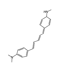 CNC1C=CC(=C/C=C/C=C/c2ccc(N(C)C)cc2)C=C1